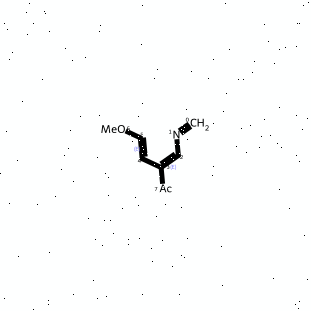 C=N/C=C(\C=C\OC)C(C)=O